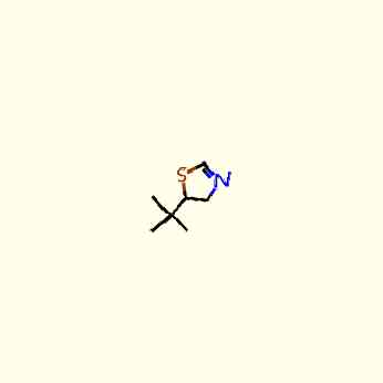 CC(C)(C)C1CN=CS1